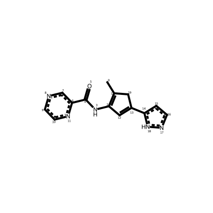 CC1=C(NC(=O)c2cnccn2)C=C(c2ccn[nH]2)C1